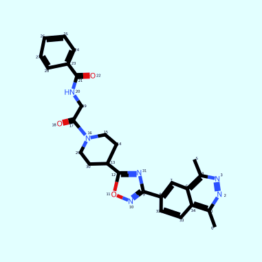 Cc1nnc(C)c2cc(-c3noc(C4CCN(C(=O)CNC(=O)c5ccccc5)CC4)n3)ccc12